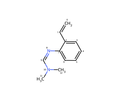 C=Cc1ccccc1/N=C\N(C)C